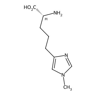 Cn1cnc(CCC[C@@H](N)C(=O)O)c1